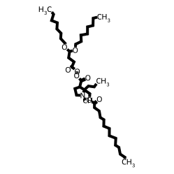 CCCCCCCCCCCCCC(=O)OCC1(CCC)C(C(=O)OOC(=O)CCC(OCCCCCCCC)OCCCCCCCC)CCN1C